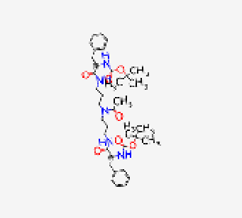 CC(=O)N(CCCNC(=O)[C@@H](Cc1ccccc1)NC(=O)OC(C)(C)C)CCCNC(=O)[C@@H](Cc1ccccc1)NC(=O)OC(C)(C)C